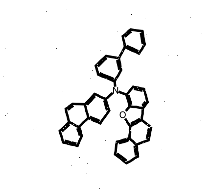 c1ccc(-c2cccc(N(c3ccc4c(ccc5ccccc54)c3)c3cccc4c3oc3c5ccccc5ccc43)c2)cc1